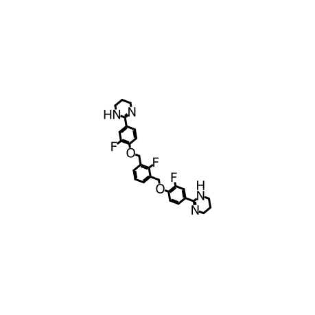 Fc1cc(C2=NCCCN2)ccc1OCc1cccc(COc2ccc(C3=NCCCN3)cc2F)c1F